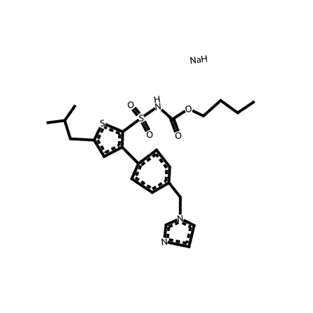 CCCCOC(=O)NS(=O)(=O)c1sc(CC(C)C)cc1-c1ccc(Cn2ccnc2)cc1.[NaH]